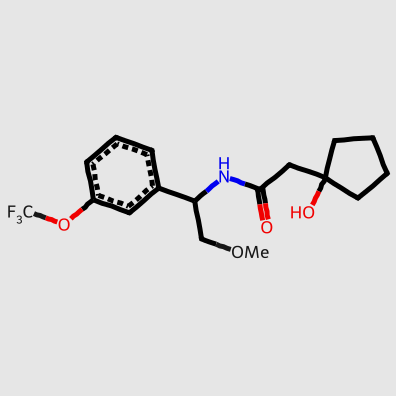 COCC(NC(=O)CC1(O)CCCC1)c1cccc(OC(F)(F)F)c1